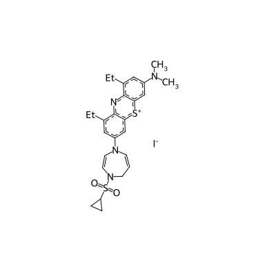 CCc1cc(N(C)C)cc2[s+]c3cc(N4C=CCN(S(=O)(=O)C5CC5)C=C4)cc(CC)c3nc12.[I-]